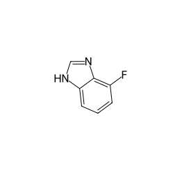 Fc1cccc2[nH]cnc12